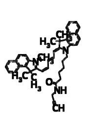 C#CCNC(=O)CCCCCN1C(=CC=CC=CC2=[N+](C)c3ccc4ccccc4c3C2(C)C)C(C)(C)c2c1ccc1ccccc21